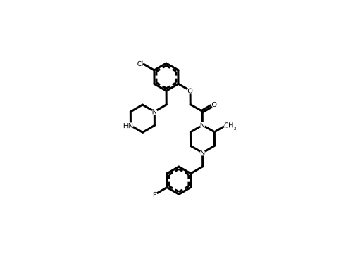 CC1CN(Cc2ccc(F)cc2)CCN1C(=O)COc1ccc(Cl)cc1CN1CCNCC1